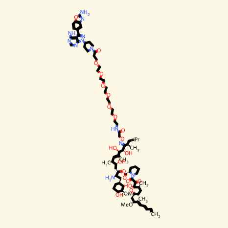 C=C/C=C/C=C(\C)[C@H](C[C@@H]1CC[C@@H](C)[C@](O)(C(=O)C(=O)N2CCCC[C@H]2C(=O)O[C@@H](C[C@@H](O)[C@H](C)/C=C(\C)[C@@H](O)[C@@H](O)/C(=N/OCC(=O)NCCOCCOCCOCCOCCOCCOCCC(=O)N2CCC(n3nc(-c4ccc5oc(N)nc5c4)c4c(N)ncnc43)CC2)[C@H](C)CC(C)C)[C@H](N)C[C@@H]2CC[C@@H](O)[C@H](OC)C2)O1)OC